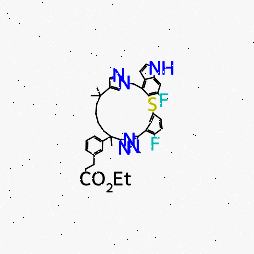 CCOC(=O)CCc1cccc(C2(C)CCCCC(C)(C)c3cnn(c3)Cc3c(c(F)cc4[nH]ccc34)Sc3ccc(F)c(c3)-c3nc2nn3C)c1